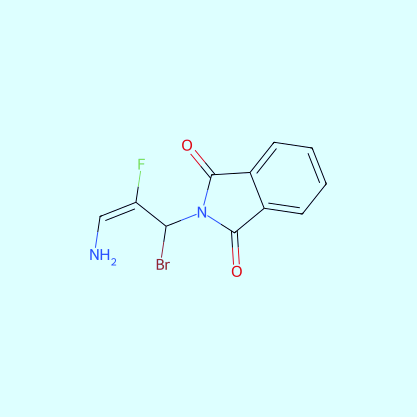 N/C=C(/F)C(Br)N1C(=O)c2ccccc2C1=O